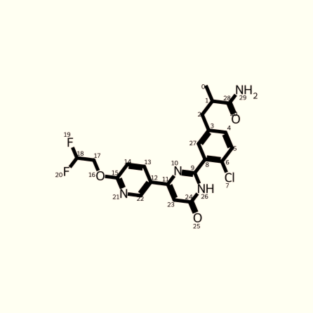 CC(Cc1ccc(Cl)c(-c2nc(-c3ccc(OCC(F)F)nc3)cc(=O)[nH]2)c1)C(N)=O